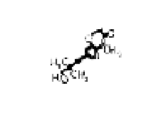 CN1C(=O)CCOc2cc(C#CC(C)(C)CO)cnc21